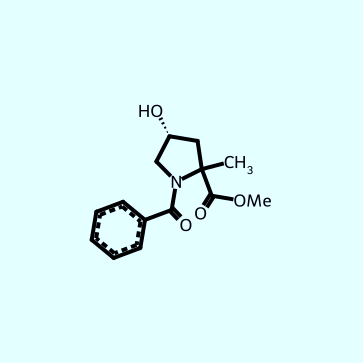 COC(=O)C1(C)C[C@@H](O)CN1C(=O)c1ccccc1